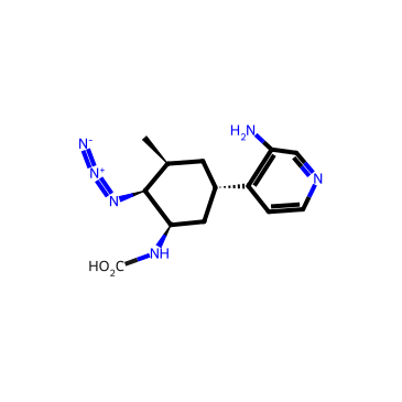 C[C@H]1C[C@H](c2ccncc2N)C[C@@H](NC(=O)O)[C@H]1N=[N+]=[N-]